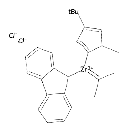 C[C](C)=[Zr+2]([C]1=CC(C(C)(C)C)=CC1C)[CH]1c2ccccc2-c2ccccc21.[Cl-].[Cl-]